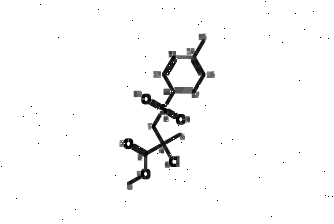 COC(=O)C(C)(Cl)CS(=O)(=O)c1ccc(C)cc1